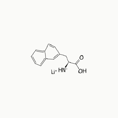 [Li+].[NH-][C@@H](Cc1ccc2ccccc2c1)C(=O)O